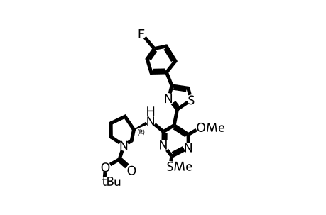 COc1nc(SC)nc(N[C@@H]2CCCN(C(=O)OC(C)(C)C)C2)c1-c1nc(-c2ccc(F)cc2)cs1